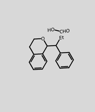 CCC(c1ccccc1)C1OCCc2ccccc21.O=CO